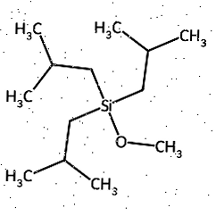 CO[Si](CC(C)C)(CC(C)C)CC(C)C